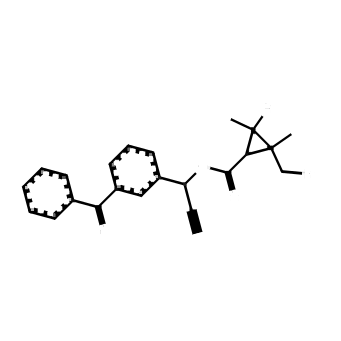 C#CC(OC(=O)C1C(C)(Br)C1(C)CBr)c1cccc(C(=O)c2ccccc2)c1